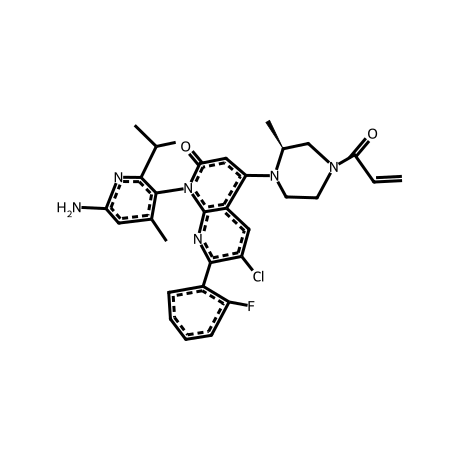 C=CC(=O)N1CCN(c2cc(=O)n(-c3c(C)cc(N)nc3C(C)C)c3nc(-c4ccccc4F)c(Cl)cc23)[C@@H](C)C1